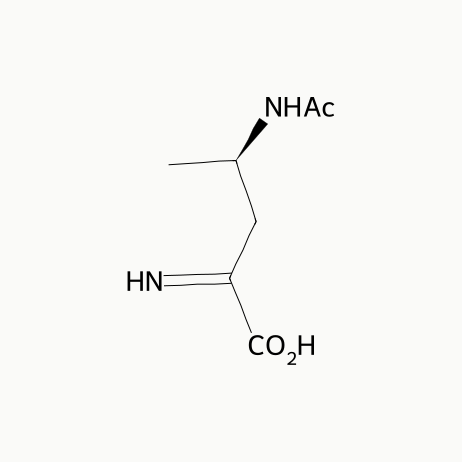 CC(=O)N[C@H](C)CC(=N)C(=O)O